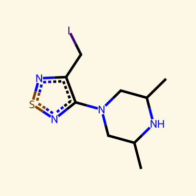 CC1CN(c2nsnc2CI)CC(C)N1